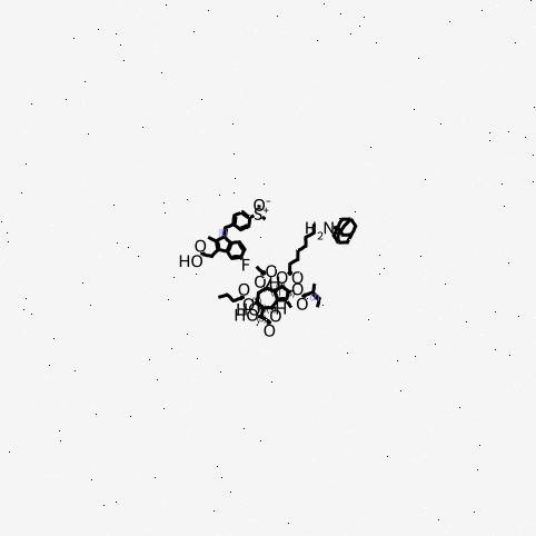 C/C=C(/C)C(=O)O[C@H]1C(C)=C2[C@H]([C@@H]1OC(=O)CCCCCCC)[C@@](C)(OC(C)=O)C[C@H](OC(=O)CCC)[C@@]1(O)[C@H]2OC(=O)[C@@]1(C)O.CC1=C(CC(=O)O)c2cc(F)ccc2/C1=C\c1ccc([S+](C)[O-])cc1.NC12CC3CC(CC(C3)C1)C2